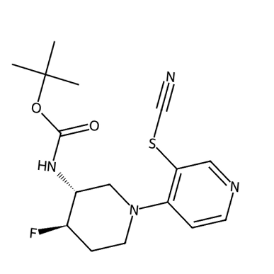 CC(C)(C)OC(=O)N[C@@H]1CN(c2ccncc2SC#N)CC[C@H]1F